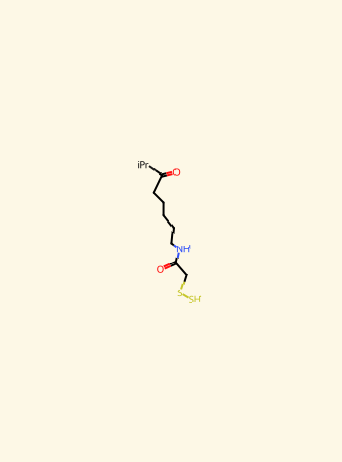 CC(C)C(=O)CCCCCNC(=O)CSS